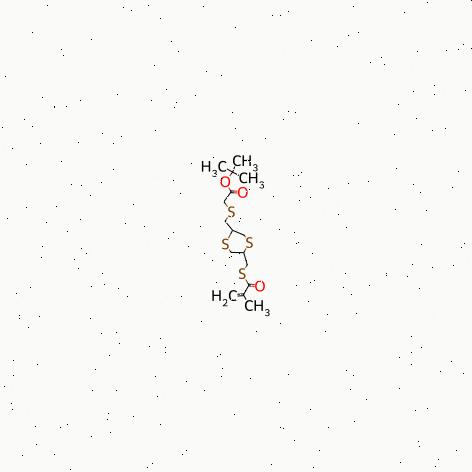 C=C(C)C(=O)SCC1CSC(CSCC(=O)OC(C)(C)C)CS1